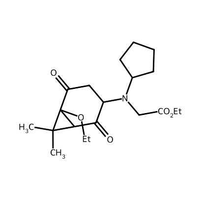 CCOC(=O)CN(C1CCCC1)C1CC(=O)C2(OCC)C(C1=O)C2(C)C